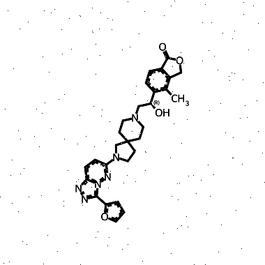 Cc1c([C@@H](O)CN2CCC3(CC2)CCN(c2ccc4nnc(-c5ccco5)n4n2)C3)ccc2c1COC2=O